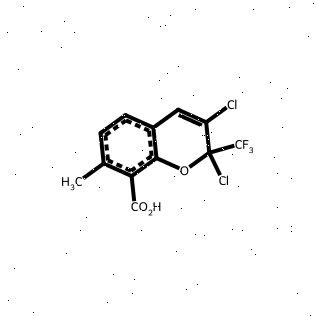 Cc1ccc2c(c1C(=O)O)OC(Cl)(C(F)(F)F)C(Cl)=C2